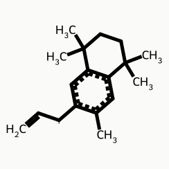 C=C[CH]c1cc2c(cc1C)C(C)(C)CCC2(C)C